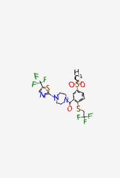 CS(=O)(=O)c1ccc(SCC(F)(F)F)c(C(=O)N2CCN(c3ncc(C(F)(F)F)s3)CC2)c1